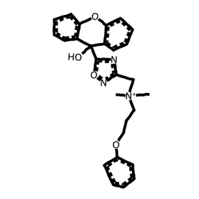 C[N+](C)(CCCOc1ccccc1)Cc1noc(C2(O)c3ccccc3Oc3ccccc32)n1